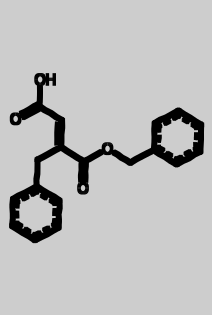 O=C(O)/C=C(\Cc1ccccc1)C(=O)OCc1ccccc1